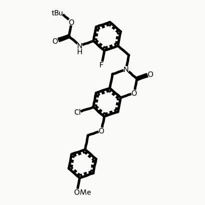 COc1ccc(COc2cc3c(cc2Cl)CN(Cc2cccc(NC(=O)OC(C)(C)C)c2F)C(=O)O3)cc1